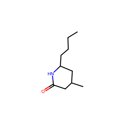 CCCCC1CC(C)CC(=O)N1